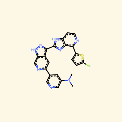 CN(C)c1cncc(-c2cc3c(-c4nc5c(-c6ccc(F)s6)nccc5[nH]4)n[nH]c3cn2)c1